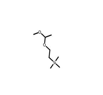 COC(C)OCC[Si](C)(C)C